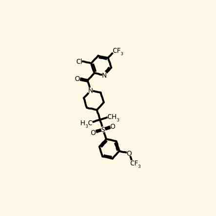 CC(C)(C1CCN(C(=O)c2ncc(C(F)(F)F)cc2Cl)CC1)S(=O)(=O)c1cccc(OC(F)(F)F)c1